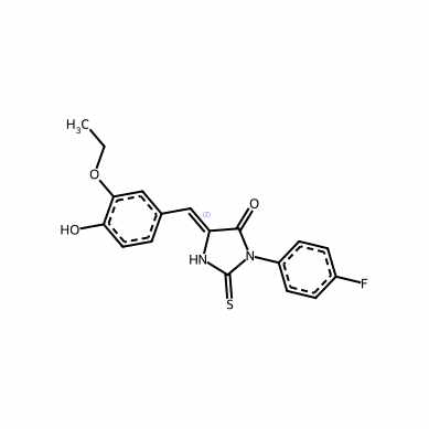 CCOc1cc(/C=C2\NC(=S)N(c3ccc(F)cc3)C2=O)ccc1O